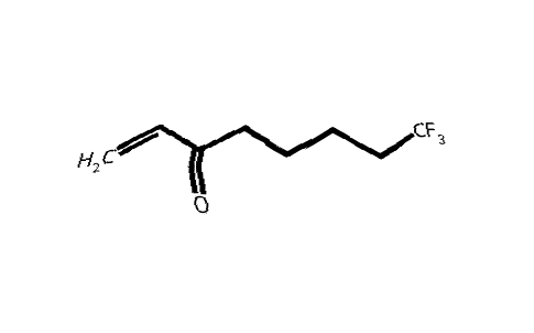 C=CC(=O)CCCCC(F)(F)F